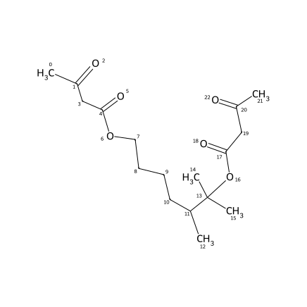 CC(=O)CC(=O)OCCCCC(C)C(C)(C)OC(=O)CC(C)=O